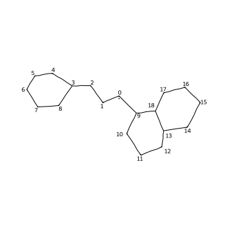 [CH](CCC1CCCCC1)C1CCCC2CCCCC12